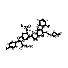 CCS(=O)(=O)Nc1cc2oc(-c3ccc(F)cc3)c(C(=O)NC)c2cc1-c1ccc2nc(CCN3CC(F)C3)c3c([nH]c4cccc(F)c43)c2n1